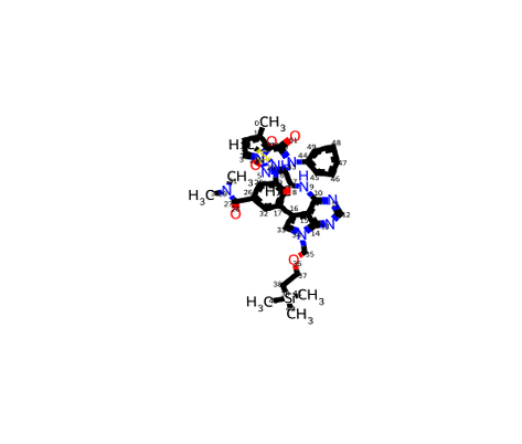 Cc1ccn2nc(C(C)Nc3ncnc4c3c(-c3cc(NS(C)(=O)=O)cc(C(=O)N(C)C)c3)cn4COCC[Si](C)(C)C)n(-c3ccccc3)c(=O)c12